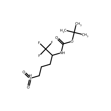 CC(C)(C)OC(=O)NC(CCC[SH](=O)=O)C(F)(F)F